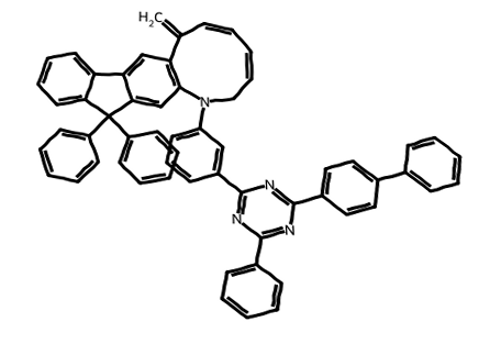 C=C1/C=C\C=C/CN(c2cccc(-c3nc(-c4ccccc4)nc(-c4ccc(-c5ccccc5)cc4)n3)c2)c2cc3c(cc21)-c1ccccc1C3(c1ccccc1)c1ccccc1